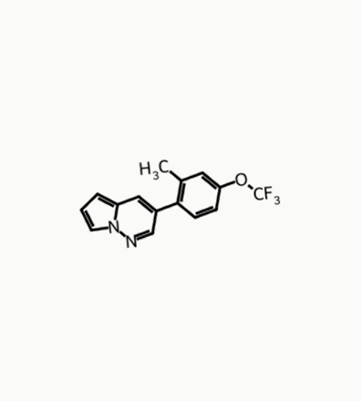 Cc1cc(OC(F)(F)F)ccc1-c1cnn2cccc2c1